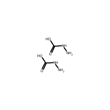 NNC(=O)O.NNC(=O)O